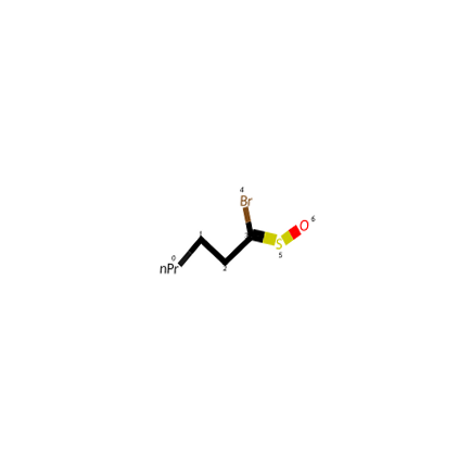 CCCCCC(Br)=S=O